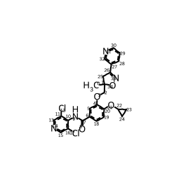 CC1(COc2cc(C(=O)Nc3c(Cl)cncc3Cl)ccc2OC2CC2)CC(c2cccnc2)=NO1